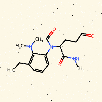 CCc1cccc(N(C=O)C(CCC=O)C(=O)NC)c1N(C)C